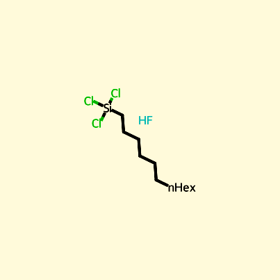 CCCCCCCCCCCC[Si](Cl)(Cl)Cl.F